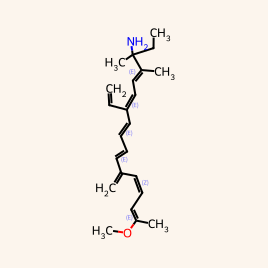 C=CC(/C=C/C=C/C(=C)/C=C\C=C(/C)OC)=C\C=C(/C)C(C)(N)CC